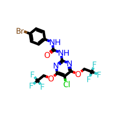 O=C(Nc1ccc(Br)cc1)Nc1nc(OCC(F)(F)F)c(Cl)c(OCC(F)(F)F)n1